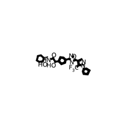 O=C(NC[C@H]1CCCC[C@H]1O)C(O)c1ccc(-c2noc(-c3cnn(-c4ccccc4)c3C(F)(F)F)n2)cc1